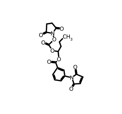 CCCC(OC(=O)ON1C(=O)CCC1=O)OC(=O)c1cccc(N2C(=O)C=CC2=O)c1